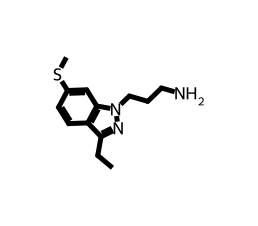 CCc1nn(CCCN)c2cc(SC)ccc12